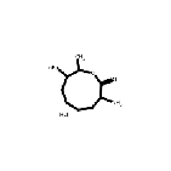 CCCCC1CCCCC(N)C(=O)OC1C.Cl